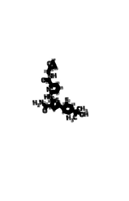 CC(C)(O)c1ccc(-c2cc(C(N)=O)c(Nc3cccc(C(=O)NCC4CCO4)n3)s2)c(F)c1